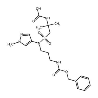 Cn1cc(N(CCCNC(=O)OCc2ccccc2)S(=O)(=O)CC(C)(C)NC(=O)O)cn1